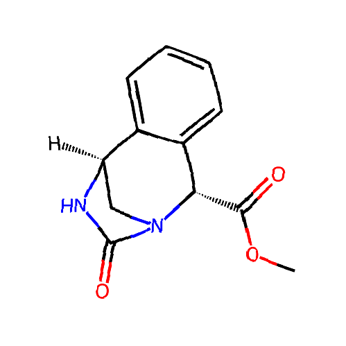 COC(=O)[C@H]1c2ccccc2[C@H]2CN1C(=O)N2